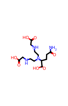 NC(=O)CCC(C(=O)O)N(CCNCC(=O)O)CCNCC(=O)O